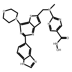 CN(Cc1cc2nc(-c3ccc4[nH]cnc4c3)nc(N3CCOCC3)c2s1)c1ncc(C(=O)NO)cn1